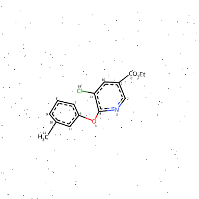 CCOC(=O)c1cnc(Oc2cccc(C)c2)c(Cl)c1